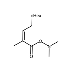 CCCCCCCC=C(C)C(=O)ON(C)C